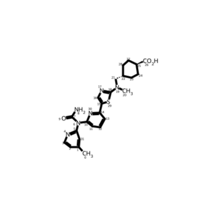 Cc1ccnc(N(C(N)=O)c2cccc(-c3cnc(N(C)C[C@H]4CC[C@H](C(=O)O)CC4)s3)n2)c1